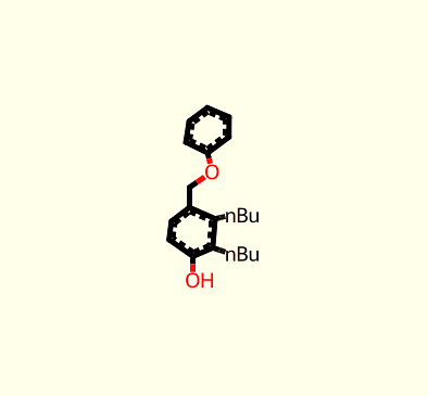 CCCCc1c(O)ccc(COc2ccccc2)c1CCCC